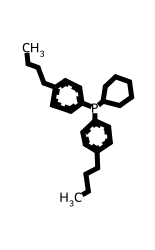 CCCCc1ccc(P(c2ccc(CCCC)cc2)C2CCCCC2)cc1